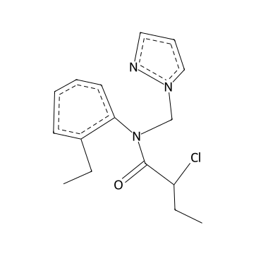 CCc1ccccc1N(Cn1cccn1)C(=O)C(Cl)CC